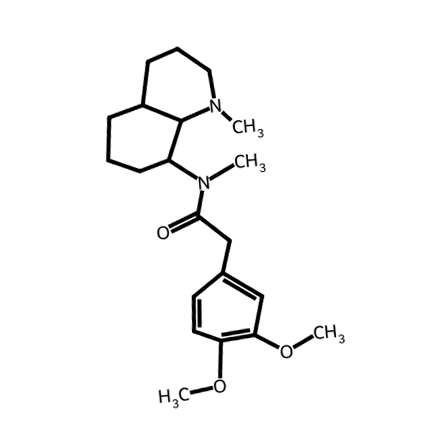 COc1ccc(CC(=O)N(C)C2CCCC3CCCN(C)C32)cc1OC